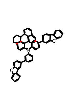 c1cc(-c2ccc3oc4ccccc4c3c2)cc(N(c2ccc(-c3ccc4c(c3)oc3ccccc34)cc2)c2ccccc2-c2cccc3cccc(C4CCCCC4)c23)c1